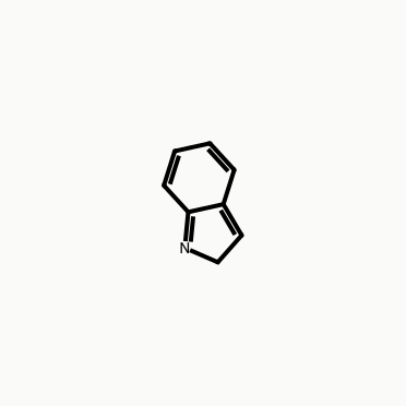 C1=c2ccccc2=NC1